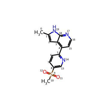 Cc1cc2c(-c3ccc(S(C)(=O)=O)cn3)ccnc2[nH]1